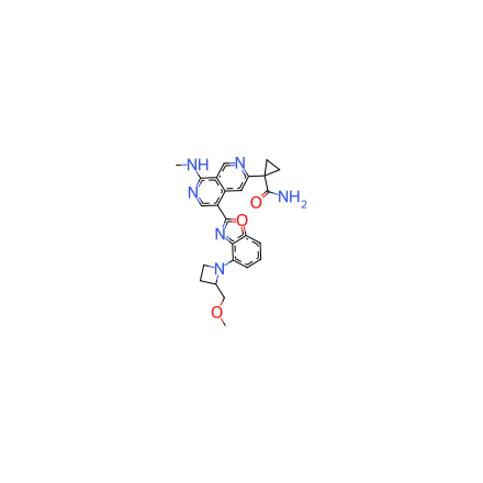 CNc1ncc(-c2nc3c(N4CCC4COC)cccc3o2)c2cc(C3(C(N)=O)CC3)ncc12